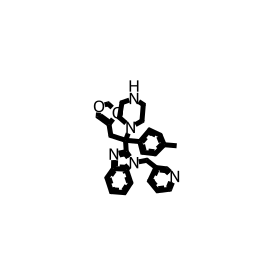 Cc1ccc(C(CC2=COCO2)(c2nc3ccccc3n2Cc2cccnc2)N2CCNCC2)cc1